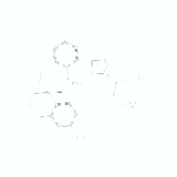 COCC(C=O)N1CC[C@H]1CN1C[C@@]2(CCCc3cc(Cl)ccc32)COc2ccc(I)cc21